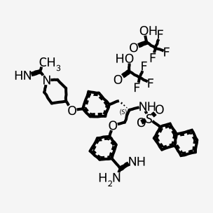 CC(=N)N1CCC(Oc2ccc(C[C@@H](COc3cccc(C(=N)N)c3)NS(=O)(=O)c3ccc4ccccc4c3)cc2)CC1.O=C(O)C(F)(F)F.O=C(O)C(F)(F)F